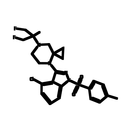 Cc1ccc(S(=O)(=O)n2nc(N3CCN(C(C)(CF)CF)CC34CC4)c3c(Cl)cccc32)cc1